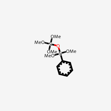 CO[Si](OC)(OC)O[Si](OC)(OC)c1ccccc1